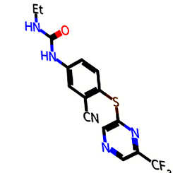 CCNC(=O)Nc1ccc(Sc2cncc(C(F)(F)F)n2)c(C#N)c1